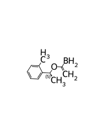 BC(=C)O[C@@H](C)c1ccccc1C